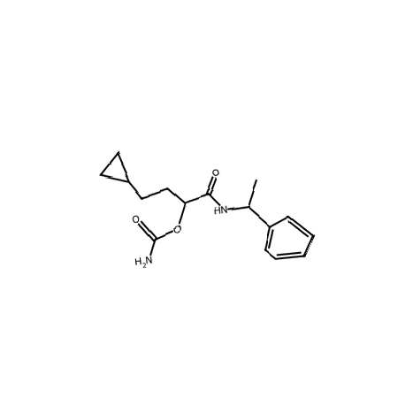 CC(NC(=O)C(CCC1CC1)OC(N)=O)c1ccccc1